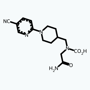 N#Cc1ccc(N2CCC(CN(CC(N)=O)C(=O)O)CC2)nc1